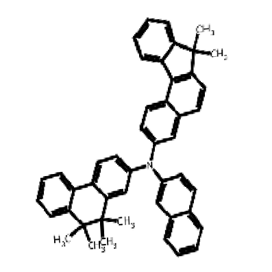 CC1(C)c2ccccc2-c2c1ccc1cc(N(c3ccc4c(c3)C(C)(C)C(C)(C)c3ccccc3-4)c3ccc4ccccc4c3)ccc21